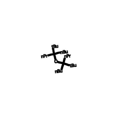 CCCCC(CCC)(OC(CCC)(CCCC)C(C)(C)C)C(C)(C)C